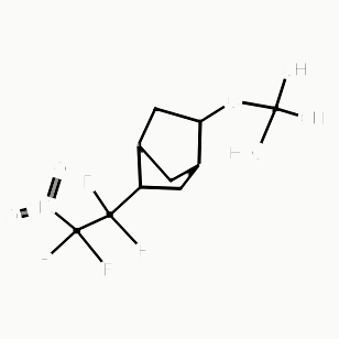 CC(C)(C)OC1CC2CC1CC2C(F)(F)C(F)(F)[SH](=O)=O